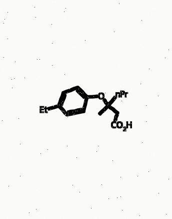 CCCC(C)(CC(=O)O)Oc1ccc(CC)cc1